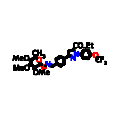 CCOC(=O)C1CC(c2ccc(/C=N/O[C@@H]3O[C@@H](C)[C@H](OC)[C@@H](OC)[C@H]3OC)cc2)=NN1c1ccc(OC(F)(F)F)cc1